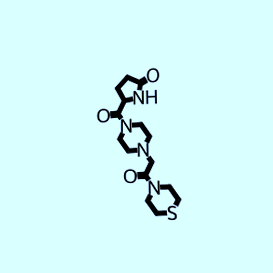 O=C1CCC(C(=O)N2CCN(CC(=O)N3CCSCC3)CC2)N1